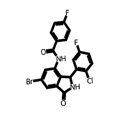 O=C(Nc1cc(Br)cc2c1C(c1cc(F)ccc1Cl)NC2=O)c1ccc(F)cc1